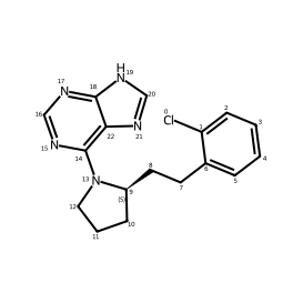 Clc1ccccc1CC[C@H]1CCCN1c1ncnc2[nH]cnc12